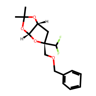 CC1(C)O[C@H]2O[C@@](COCc3ccccc3)(C(F)F)C[C@H]2O1